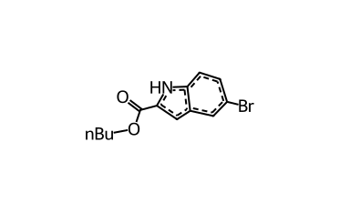 CCCCOC(=O)c1cc2cc(Br)ccc2[nH]1